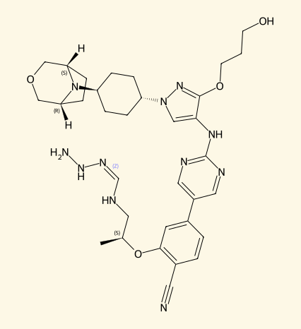 C[C@@H](CN/C=N\NN)Oc1cc(-c2cnc(Nc3cn([C@H]4CC[C@H](N5[C@@H]6CC[C@H]5COC6)CC4)nc3OCCCO)nc2)ccc1C#N